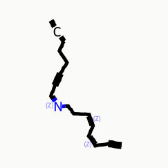 C#C/C=C\C=C/CC/N=C\C#CCCC=C=C